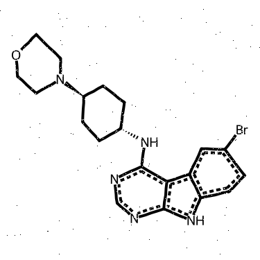 Brc1ccc2[nH]c3ncnc(N[C@H]4CC[C@H](N5CCOCC5)CC4)c3c2c1